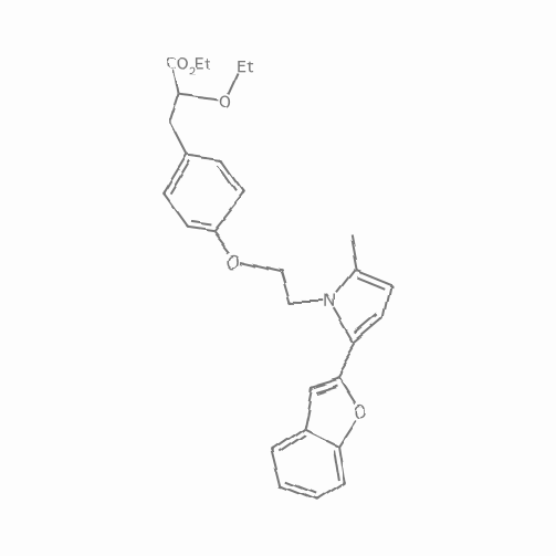 CCOC(=O)C(Cc1ccc(OCCn2c(C)ccc2-c2cc3ccccc3o2)cc1)OCC